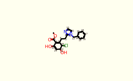 COC(=O)C1=C(CCc2nccn2Cc2ccccc2)C(Cl)C(O)C=C1O